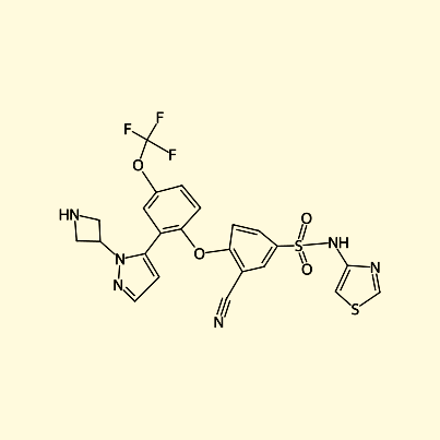 N#Cc1cc(S(=O)(=O)Nc2cscn2)ccc1Oc1ccc(OC(F)(F)F)cc1-c1ccnn1C1CNC1